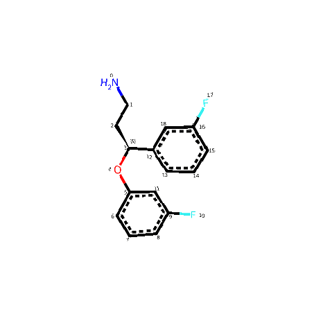 NCC[C@H](Oc1cccc(F)c1)c1cccc(F)c1